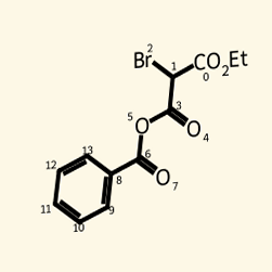 CCOC(=O)C(Br)C(=O)OC(=O)c1ccccc1